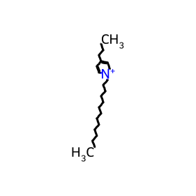 CCCCCCCCCCCCCC[n+]1ccc(CCCC)cc1